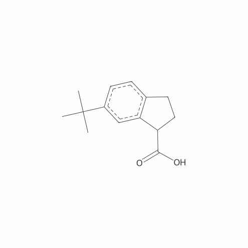 CC(C)(C)c1ccc2c(c1)C(C(=O)O)CC2